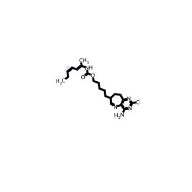 CC/C=C\C=C(C)NC(=O)OCCCCCC1C=Nc2c(N)nc(Cl)nc2CC1